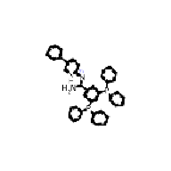 NC(/N=c1/ccc(-c2ccccc2)c[nH]1)c1cc(P(c2ccccc2)c2ccccc2)cc(P(c2ccccc2)c2ccccc2)c1